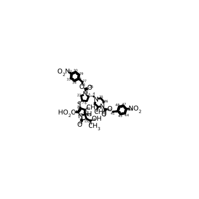 CC1CN(C[C@@H]2C[C@H](SC3=C(C(=O)O)N4C(=O)[C@H]([C@@H](C)O)[C@H]4[C@H]3C)CN2C(=O)OCc2ccc([N+](=O)[O-])cc2)CCN1C(=O)OCc1ccc([N+](=O)[O-])cc1